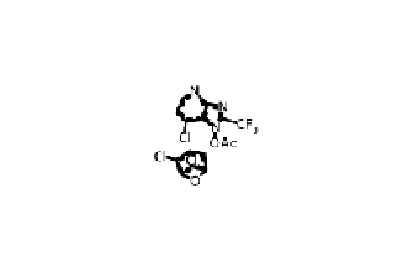 CC(=O)On1c(C(F)(F)F)nc2nccc(Cl)c21.Clc1ccc2c(Cl)c1O2